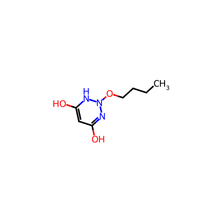 CCCCON1N=C(O)C=C(O)N1